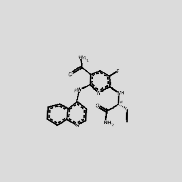 CC[C@@H](Nc1nc(Nc2ccnc3ccccc23)c(C(N)=O)cc1F)C(N)=O